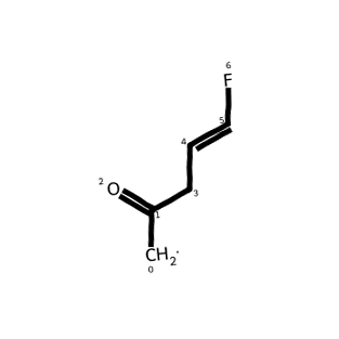 [CH2]C(=O)C/C=C/F